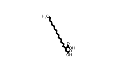 CCCCCCCCCCCCCCCC(=CC(=O)O)C(=O)O